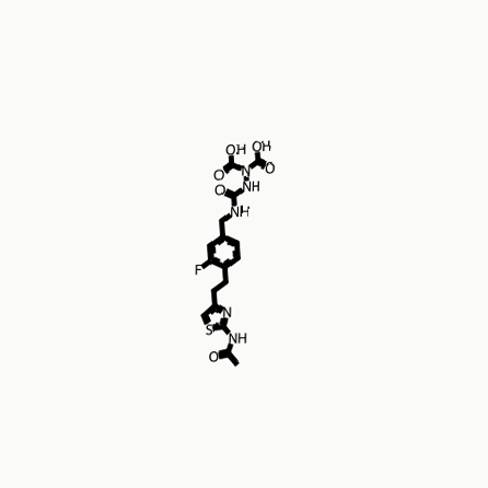 CC(=O)Nc1nc(CCc2ccc(CNC(=O)NN(C(=O)O)C(=O)O)cc2F)cs1